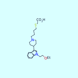 CCOCCn1cc(C2CCN(CCCCSCC(=O)O)CC2)c2ccccc21